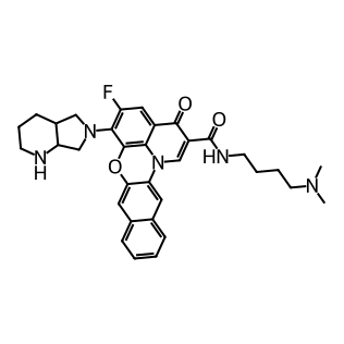 CN(C)CCCCNC(=O)c1cn2c3c(c(N4CC5CCCNC5C4)c(F)cc3c1=O)Oc1cc3ccccc3cc1-2